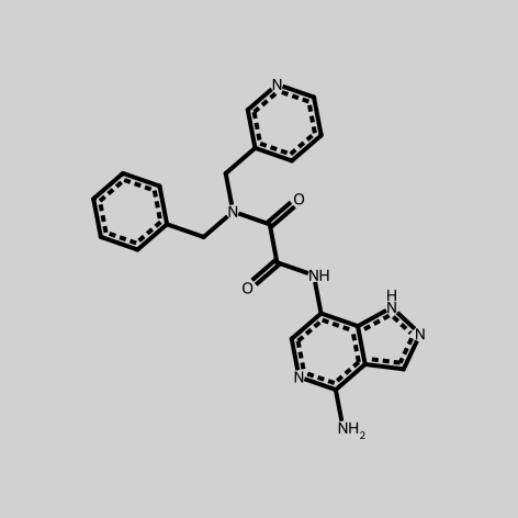 Nc1ncc(NC(=O)C(=O)N(Cc2ccccc2)Cc2cccnc2)c2[nH]ncc12